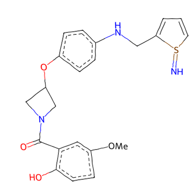 COc1ccc(O)c(C(=O)N2CC(Oc3ccc(NCC4=CC=CS4=N)cc3)C2)c1